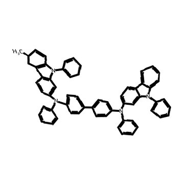 CC1C=Cc2c(c3ccc(N(c4ccccc4)c4ccc(-c5ccc(N(c6ccccc6)c6ccc7c8ccccc8n(-c8ccccc8)c7c6)cc5)cc4)cc3n2C2=CCCC=C2)C1